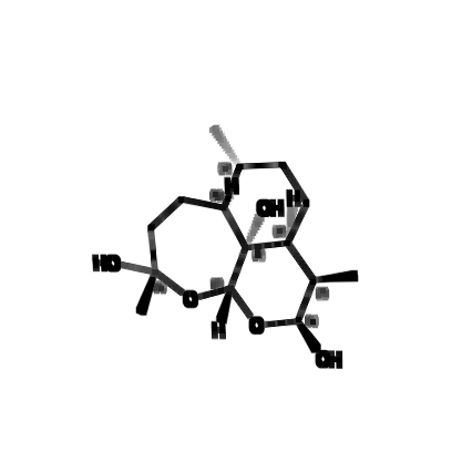 C[C@H]1[C@@H](O)O[C@@H]2O[C@](C)(O)CC[C@H]3[C@H](C)CC[C@@H]1[C@@]23O